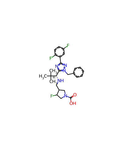 CC(C)(C)[C@@H](NCC1CN(C(=O)O)CC1F)c1nc(-c2cc(F)ccc2F)nn1Cc1ccccc1